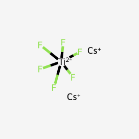 [Cs+].[Cs+].[F][Ti-2]([F])([F])([F])([F])[F]